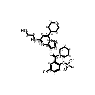 CS(=O)(=O)Nc1ccc(Cl)cc1C(=O)N1CCCC[C@H]1c1cc2nc(NCCO)cc(C3CCOCC3)n2n1